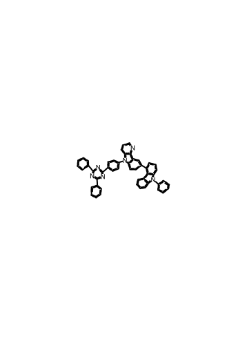 c1ccc(-c2nc(-c3ccccc3)nc(-c3ccc(-n4c5ccc(-c6cccc7c6c6ccccc6n7-c6ccccc6)cc5c5ncccc54)cc3)n2)cc1